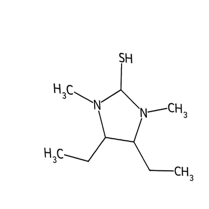 CCC1C(CC)N(C)C(S)N1C